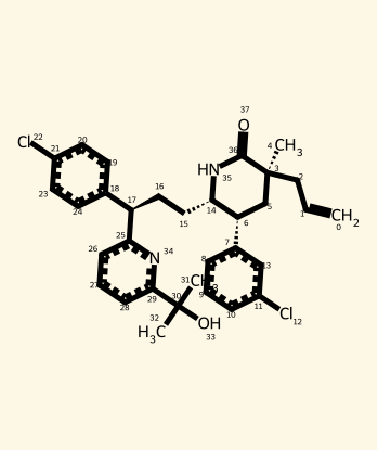 C=CC[C@@]1(C)C[C@H](c2cccc(Cl)c2)[C@H](CC[C@H](c2ccc(Cl)cc2)c2cccc(C(C)(C)O)n2)NC1=O